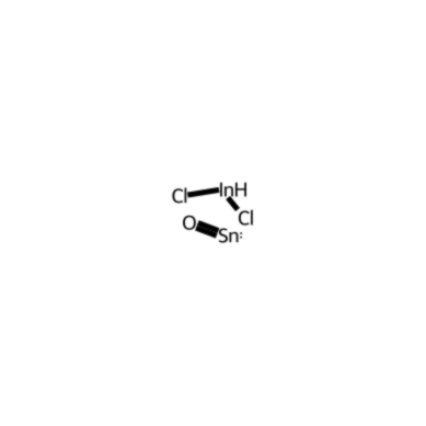 [Cl][InH][Cl].[O]=[Sn]